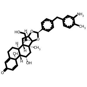 Cc1ccc(Cc2ccc([C@@H]3O[C@@H]4C[C@H]5[C@@H]6CCC7=CC(=O)C=C[C@]7(C)[C@H]6[C@@H](O)C[C@]5(C)[C@]4(C(=O)CO)O3)cc2)cc1N